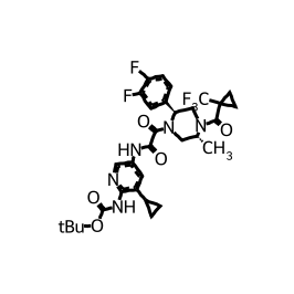 C[C@@H]1CN(C(=O)C(=O)Nc2cnc(NC(=O)OC(C)(C)C)c(C3CC3)c2)[C@@H](c2ccc(F)c(F)c2)CN1C(=O)C1(C(F)(F)F)CC1